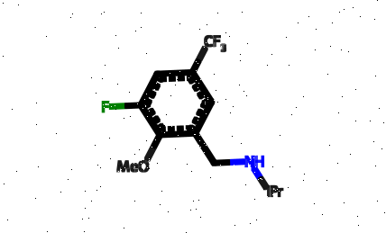 COc1c(F)cc(C(F)(F)F)cc1CNC(C)C